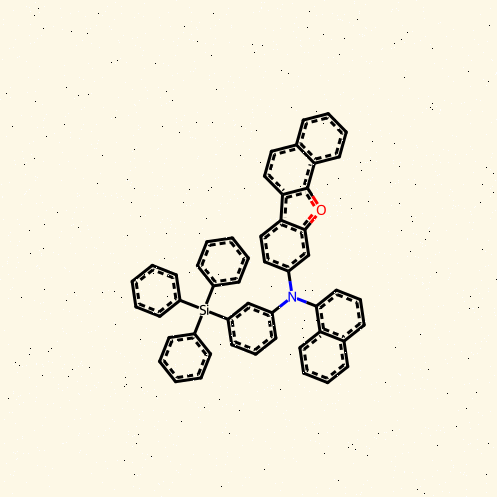 c1ccc([Si](c2ccccc2)(c2ccccc2)c2cccc(N(c3ccc4c(c3)oc3c5ccccc5ccc43)c3cccc4ccccc34)c2)cc1